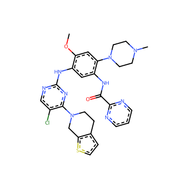 COc1cc(N2CCN(C)CC2)c(NC(=O)c2ncccn2)cc1Nc1ncc(Cl)c(N2CCc3ccsc3C2)n1